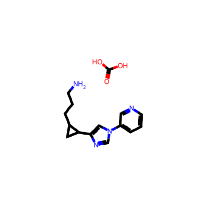 NCCCC1CC1c1cn(-c2cccnc2)cn1.O=C(O)O